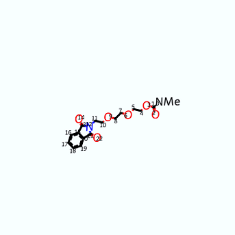 CNC(=O)OCCOCCOCCN1C(=O)c2ccccc2C1=O